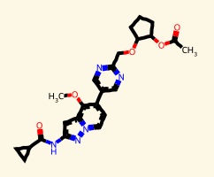 COc1c(-c2cnc(COC3CCCC3OC(C)=O)nc2)ccn2nc(NC(=O)C3CC3)cc12